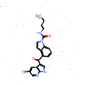 CCCCNC(=O)n1ccc2c(C(=O)c3c[nH]c4ncc(Cl)cc34)cccc21